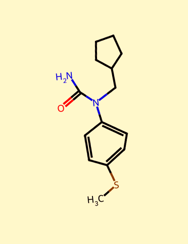 CSc1ccc(N(CC2CCCC2)C(N)=O)cc1